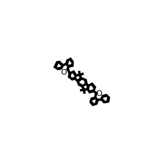 CC1(C)c2cc(C(=O)c3ccccc3-c3ccccc3)ccc2-c2cc3c(cc21)-c1ccc(C(=O)c2ccccc2-c2ccccc2)cc1C3(C)C